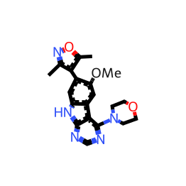 COc1cc2c(cc1-c1c(C)noc1C)[nH]c1ncnc(N3CCOCC3)c12